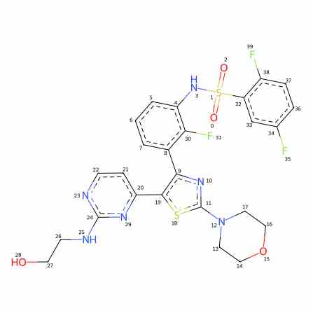 O=S(=O)(Nc1cccc(-c2nc(N3CCOCC3)sc2-c2ccnc(NCCO)n2)c1F)c1cc(F)ccc1F